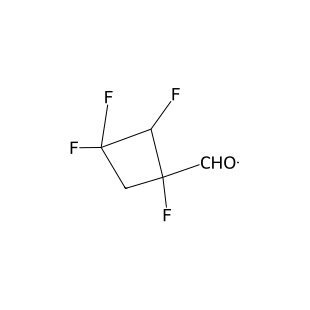 O=[C]C1(F)CC(F)(F)C1F